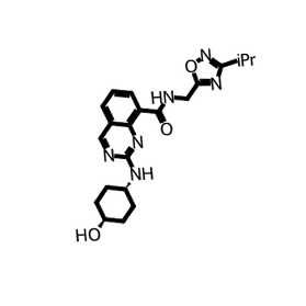 CC(C)c1noc(CNC(=O)c2cccc3cnc(N[C@H]4CC[C@H](O)CC4)nc23)n1